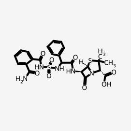 CC1(C)S[C@@H]2[C@H](NC(=O)C(NS(=O)(=O)NC(=O)c3ccccc3C(N)=O)c3ccccc3)C(=O)N2[C@H]1C(=O)O